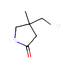 COCC1(C)CNC(=O)C1